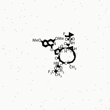 COc1ccc2c(O[C@@H]3C[C@H]4C(=O)N[C@]5(C(=O)NS(=O)(=O)C6(CF)CC6)C[C@H]5/C=C\CC[C@H](C)C[C@@H](C)[C@H](NC(=O)OC(C)(C)C(F)(F)F)C(=O)N4C3)nc(OC)cc2c1